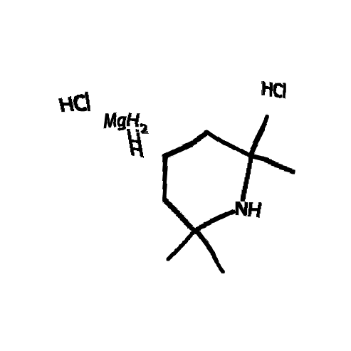 CC1(C)CCCC(C)(C)N1.Cl.Cl.[LiH].[MgH2]